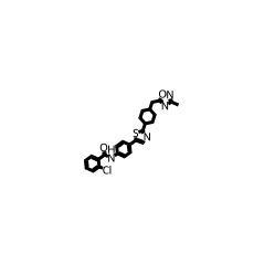 Cc1noc(CC2CCC(c3ncc(-c4ccc(NC(=O)c5ccccc5Cl)cc4)s3)CC2)n1